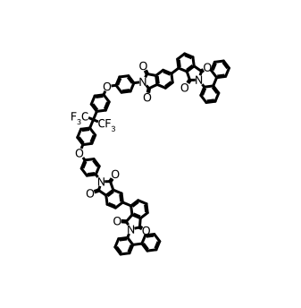 O=C1c2ccc(-c3cccc4c3C(=O)N(c3ccccc3-c3ccccc3)C4=O)cc2C(=O)N1c1ccc(Oc2ccc(C(c3ccc(Oc4ccc(N5C(=O)c6ccc(-c7cccc8c7C(=O)N(c7ccccc7-c7ccccc7)C8=O)cc6C5=O)cc4)cc3)(C(F)(F)F)C(F)(F)F)cc2)cc1